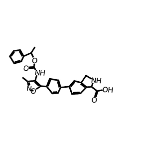 Cc1noc(-c2ccc(-c3ccc4c(c3)CNC4C(=O)O)cc2)c1NC(=O)OC(C)c1ccccc1